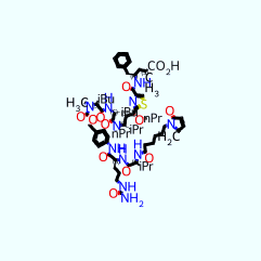 C=C1C=CC(=O)N1CCCCCC(=O)N[C@H](C(=O)N[C@@H](CCCNC(N)=O)C(=O)Nc1ccc(COC(=O)N(C)[C@H](C(=O)N[C@H](C(=O)N(CCC)[C@H](CC(OCCC)c2nc(C(=O)N[C@@H](Cc3ccccc3)C[C@H](C)C(=O)O)cs2)C(C)C)[C@@H](C)CC)C(C)CC)cc1)C(C)C